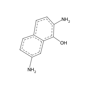 Nc1ccc2ccc(N)c(O)c2c1